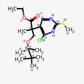 CCOC(=O)C(C)(CO[Si](C)(C)C(C)(C)C)c1cnc(SC)nc1Cl